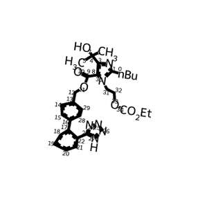 CCCCc1nc(C(C)(C)O)c(C(=O)OCc2ccc(-c3ccccc3-c3nnn[nH]3)cc2)n1CCOC(=O)OCC